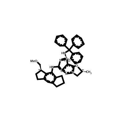 COC[C@@H]1CCc2cc3c(c(NC(=O)N=[S@@](=O)(NC(c4ccccc4)(c4ccccc4)c4ccccc4)c4cnn5c4O[C@H](C)C5)c21)CCC3